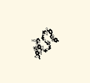 CCCc1c(OC)cc(OS(=O)(=O)Oc2cc(C(=O)NCC(C)(C)COCC(C)(C)Cn3cc(COCC(C)(C)COCC(C)(C)CNC(=O)C4=CC(C(=O)CCS(=O)(=O)c5ccc(C)cc5)CC=C4)nn3)ccc2OC2OCCC[C@H]2O)cc1OC